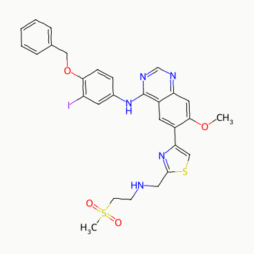 COc1cc2ncnc(Nc3ccc(OCc4ccccc4)c(I)c3)c2cc1-c1csc(CNCCS(C)(=O)=O)n1